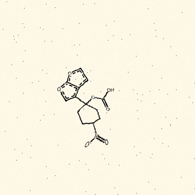 O=C(O)OC1(c2coc3occc23)CCC([N+](=O)[O-])CC1